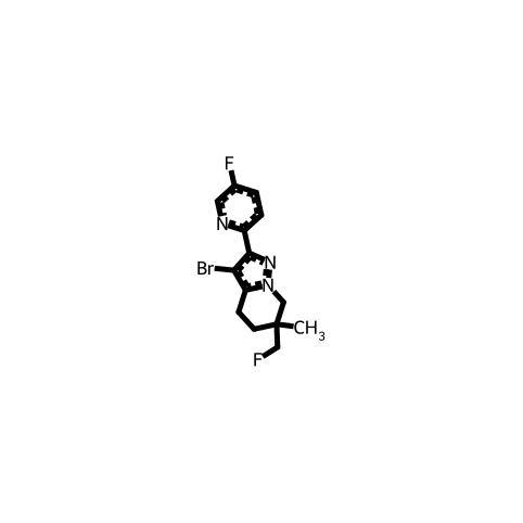 CC1(CF)CCc2c(Br)c(-c3ccc(F)cn3)nn2C1